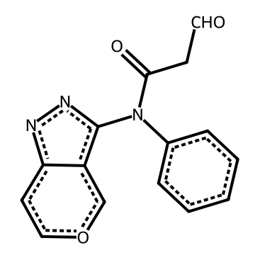 O=CCC(=O)N(c1ccccc1)c1nnc2ccocc1-2